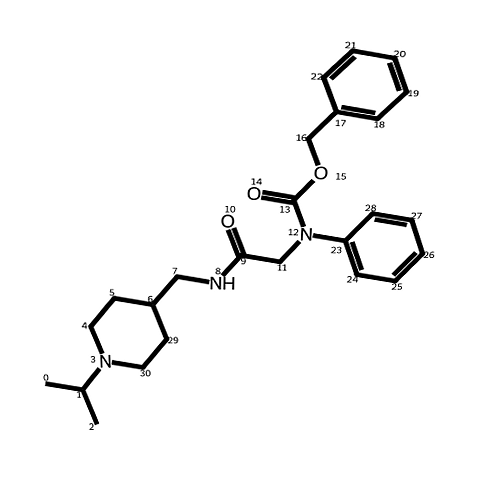 CC(C)N1CCC(CNC(=O)CN(C(=O)OCc2ccccc2)c2ccccc2)CC1